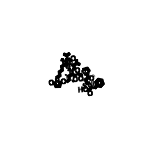 CC[C@H](C)[C@@H]([C@@H](CC(=O)N1CCC[C@H]1[C@H](OC)[C@@H](C)C(=S)N[C@@H](Cc1ccccc1)C(=O)O)OC)N(C)C(=O)[C@@H](NC(=O)[C@H](C(C)C)N(C)C(=O)CCCCCN1C(=O)C=CC1=O)C(C)C